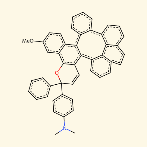 COc1ccc2c(c1)c1c(c3c4cccc5ccc6cccc(c7ccccc7c23)c6c54)C=CC(c2ccccc2)(c2ccc(N(C)C)cc2)O1